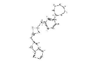 c1ccc2oc(CN3CC(Nc4nccc(N5CCCCCC5)n4)C3)cc2c1